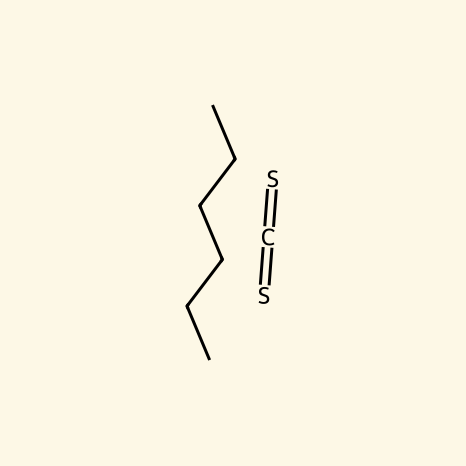 CCCCCC.S=C=S